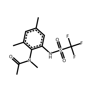 CC(=O)N(C)c1c(C)cc(C)cc1NS(=O)(=O)C(F)(F)F